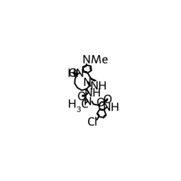 CNc1ccc2c(c1)NC(=O)CCCCC(NC(=O)N(C)CCC1OC(=O)Nc3ccc(Cl)cc31)c1nc-2c[nH]1